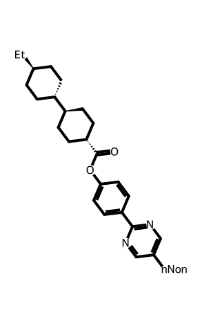 CCCCCCCCCc1cnc(-c2ccc(OC(=O)[C@H]3CC[C@H]([C@H]4CC[C@H](CC)CC4)CC3)cc2)nc1